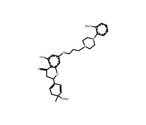 COc1ccccc1N1CCN(CCCOc2cc(O)c3c(c2)OC(C2=CCC(C)(OC)C=C2)CC3=O)CC1